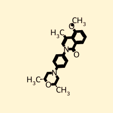 COc1cccc2c(=O)n(-c3ccc(N4C[C@@H](C)O[C@@H](C)C4)cc3)cc(C)c12